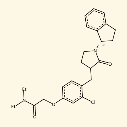 CCN(CC)C(=O)COc1ccc(CC2CCN([C@H]3CCc4ccccc43)C2=O)c(Cl)c1